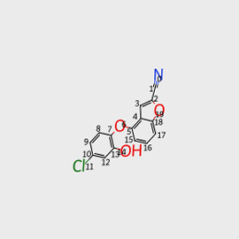 N#Cc1cc2c(Oc3ccc(Cl)cc3O)cccc2o1